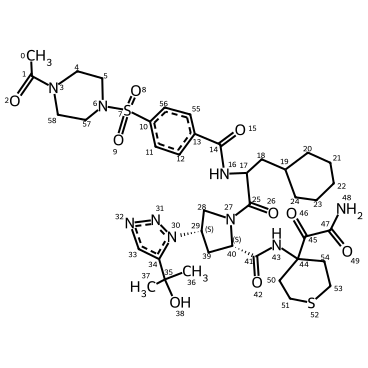 CC(=O)N1CCN(S(=O)(=O)c2ccc(C(=O)NC(CC3CCCCC3)C(=O)N3C[C@@H](n4nncc4C(C)(C)O)C[C@H]3C(=O)NC3(C(=O)C(N)=O)CCSCC3)cc2)CC1